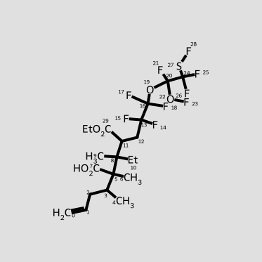 C=CCC(C)C(C)(C(=O)O)C(C)(CC)C(CC(F)(F)C(F)(F)OC(F)(OF)C(F)(F)SF)C(=O)OCC